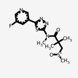 CN(C(=O)C(C)(C)C[S+](C)[O-])c1nnc(-c2cncc(F)c2)s1